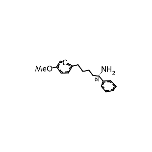 COc1ccc(CCCC[C@H](N)c2ccccc2)cc1